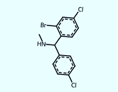 CNC(c1ccc(Cl)cc1)c1ccc(Cl)cc1Br